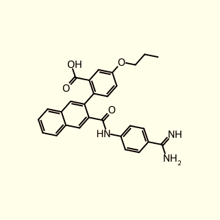 CCCOc1ccc(-c2cc3ccccc3cc2C(=O)Nc2ccc(C(=N)N)cc2)c(C(=O)O)c1